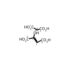 O=C(O)C=C(O)C(=O)O.O=C(O)CC(=O)O